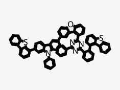 c1ccc(-c2nc(-c3ccccc3-c3cccc4sc5ccccc5c34)nc(-c3cccc4oc5ccc(-c6ccc7c(c6)c6ccc(-c8cccc9c8sc8ccccc89)cc6n7-c6ccccc6)cc5c34)n2)cc1